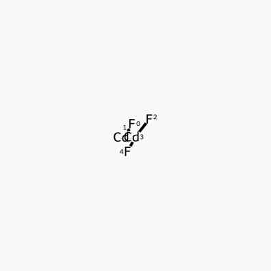 [F][Cd].[F][Cd][F]